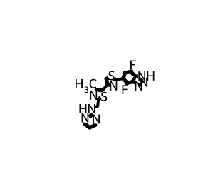 Cc1nc(CNc2ncccn2)sc1-c1csc(-c2cc(F)c3[nH]nnc3c2F)n1